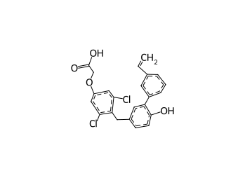 C=Cc1cccc(-c2cc(Cc3c(Cl)cc(OCC(=O)O)cc3Cl)ccc2O)c1